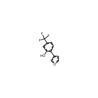 Oc1cc(C(F)(F)F)ccc1-c1ccoc1